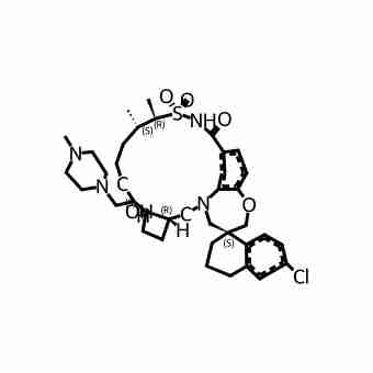 C[C@@H]1[C@@H](C)CCC[C@@](O)(CN2CCN(C)CC2)[C@@H]2CC[C@H]2CN2C[C@@]3(CCCc4cc(Cl)ccc43)COc3ccc(cc32)C(=O)NS1(=O)=O